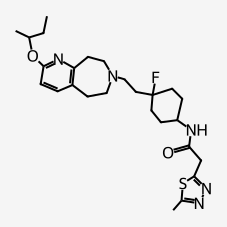 CCC(C)Oc1ccc2c(n1)CCN(CCC1(F)CCC(NC(=O)Cc3nnc(C)s3)CC1)CC2